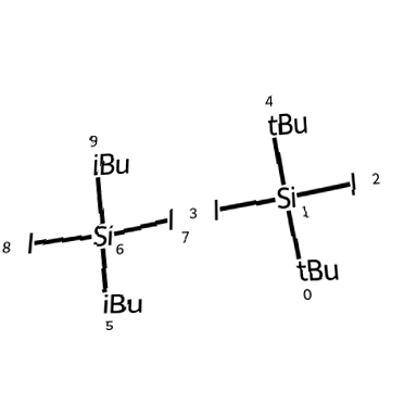 CC(C)(C)[Si](I)(I)C(C)(C)C.CCC(C)[Si](I)(I)C(C)CC